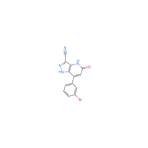 N#Cc1n[nH]c2c(-c3cccc(Br)c3)cc(=O)[nH]c12